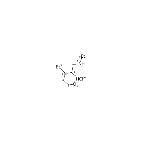 CCNCC1COCCN1CC.Cl